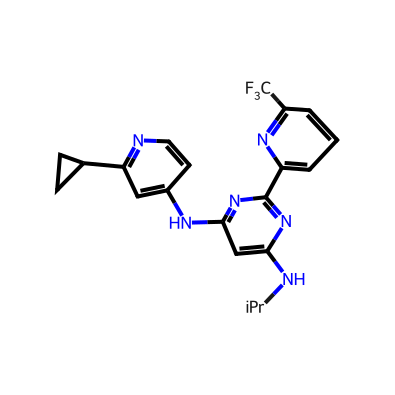 CC(C)Nc1cc(Nc2ccnc(C3CC3)c2)nc(-c2cccc(C(F)(F)F)n2)n1